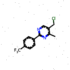 Cc1nc(-c2ccc(C(F)(F)F)cc2)ncc1CCl